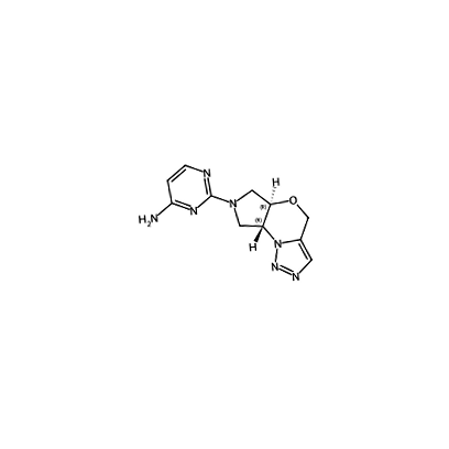 Nc1ccnc(N2C[C@@H]3[C@@H](C2)OCc2cnnn23)n1